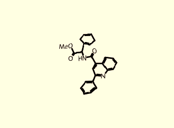 COC(=O)C(NC(=O)c1cc(-c2ccccc2)nc2ccccc12)C1=CCC=CC1